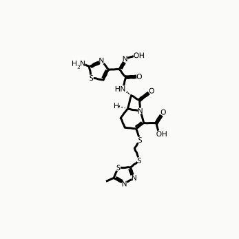 Cc1nnc(SCSC2=C(C(=O)O)N3C(=O)[C@@H](NC(=O)/C(=N\O)c4csc(N)n4)[C@@H]3CC2)s1